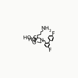 NCCCCC1(C(=O)O)CN(Cc2ccc(F)cc2-c2ccc(F)cc2)CCP1(=O)O